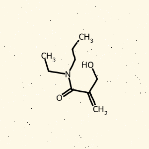 C=C(CO)C(=O)N(CC)CCC